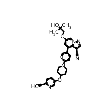 C#Cc1ccc(OC2CCN(c3ccc(-c4cc(OCC(C)(C)O)cn5ncc(C#N)c45)cn3)CC2)cn1